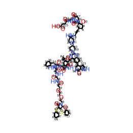 COc1ccc(C#CCNC2(C)CCN(C3CCN(c4nc([C@@](COCNC(=O)CNC(=O)[C@H](Cc5ccccc5)NC(=O)CNC(=O)CNC(=O)CCOCCOCCN5C(=O)C(Sc6ccccc6)=C(Sc6ccccc6)C5=O)(OC5CC5)c5ccccc5)c5cc(-c6cn(C)c(=O)c7[nH]ccc67)ccc5n4)CC3)CC2)cc1N1CCC(=O)N(CNC(=O)CCC(=O)O)C1=O